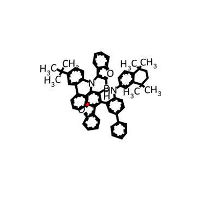 CC(C)(C)c1ccc(N2c3cc4oc5ccccc5c4c(-c4cc(-c5ccccc5)ccc4Nc4ccc5c(c4)C(C)(C)CCC5(C)C)c3Bc3oc4ccccc4c32)c(-c2ccccc2)c1